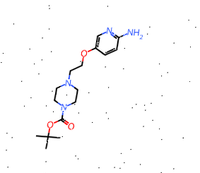 CC(C)(C)OC(=O)N1CCN(CCOc2ccc(N)nc2)CC1